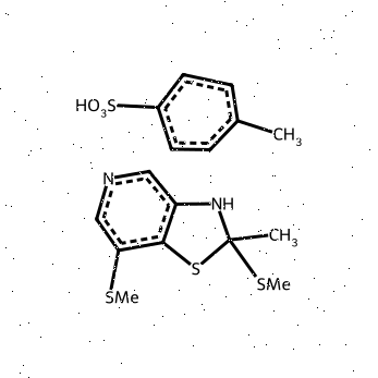 CSc1cncc2c1SC(C)(SC)N2.Cc1ccc(S(=O)(=O)O)cc1